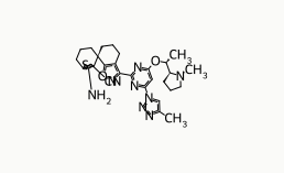 Cc1cn(-c2cc(O[C@@H](C)[C@@H]3CCCN3C)nc(-c3noc4c3CCC[C@@]43CCCc4sc(N)c(C#N)c43)n2)nn1